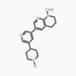 O=CN1CCCc2cc(-c3cncc(C4CC[S+]([O-])CC4)c3)cnc21